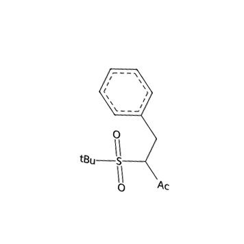 CC(=O)C(Cc1ccccc1)S(=O)(=O)C(C)(C)C